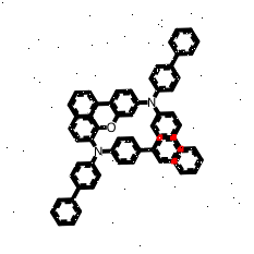 c1ccc(-c2ccc(N(c3ccc(-c4ccccc4)cc3)c3ccc4c(c3)Oc3c(N(c5ccc(-c6ccccc6)cc5)c5ccc(-c6ccccc6)cc5)ccc5cccc-4c35)cc2)cc1